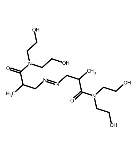 CC(CN=NCC(C)C(=O)N(CCO)CCO)C(=O)N(CCO)CCO